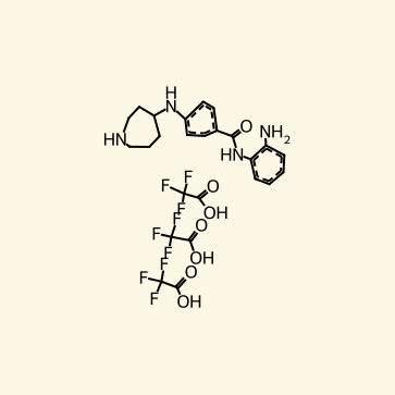 Nc1ccccc1NC(=O)c1ccc(NC2CCCNCC2)cc1.O=C(O)C(F)(F)F.O=C(O)C(F)(F)F.O=C(O)C(F)(F)F